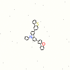 c1ccc(-n2c3ccc(-c4ccc5oc6ccccc6c5c4)cc3c3cc(-c4ccc5sc6ccccc6c5c4)ccc32)cc1